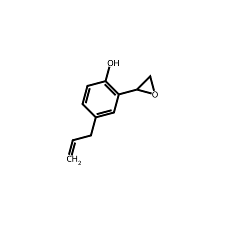 C=CCc1ccc(O)c(C2CO2)c1